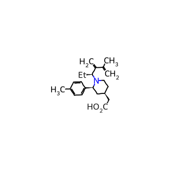 C=C(C)C(=C)[C@H](CC)N1CC[C@@H](CC(=O)O)C[C@H]1c1ccc(C)cc1